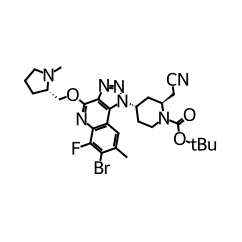 Cc1cc2c(nc(OC[C@@H]3CCCN3C)c3nnn([C@H]4CCN(C(=O)OC(C)(C)C)[C@H](CC#N)C4)c32)c(F)c1Br